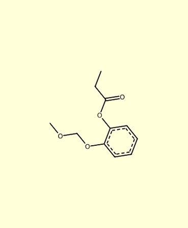 CCC(=O)Oc1ccccc1OCOC